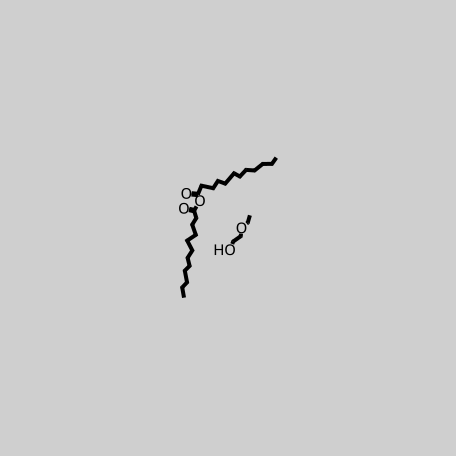 CCCCCCCCCCCC(=O)OC(=O)CCCCCCCCCCC.CCOCCO